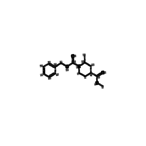 COC(=O)C1CCN(C(=O)OCc2ccccc2)C(C)C1